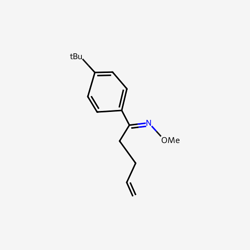 C=CCCC(=NOC)c1ccc(C(C)(C)C)cc1